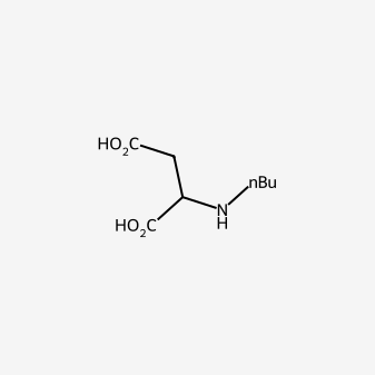 CCCCNC(CC(=O)O)C(=O)O